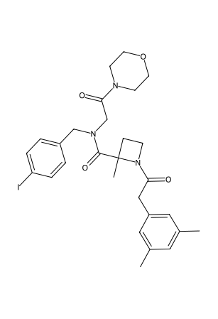 Cc1cc(C)cc(CC(=O)N2CCC2(C)C(=O)N(CC(=O)N2CCOCC2)Cc2ccc(I)cc2)c1